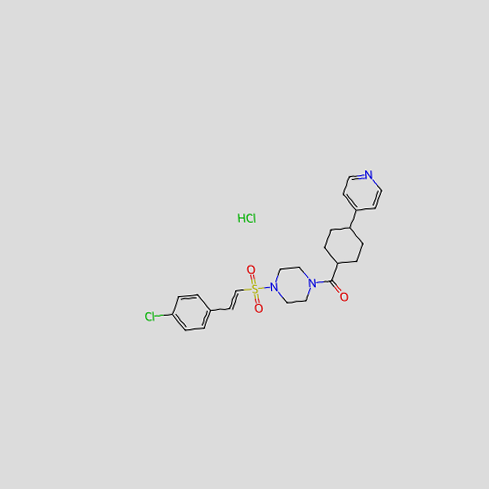 Cl.O=C(C1CCC(c2ccncc2)CC1)N1CCN(S(=O)(=O)/C=C/c2ccc(Cl)cc2)CC1